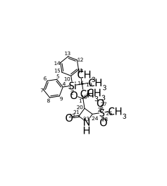 CC(O[Si](c1ccccc1)(c1ccccc1)C(C)(C)C)C1C(=O)NC1S(C)(=O)=O